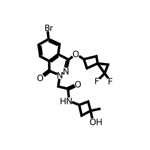 CC1(O)CC(NC(=O)Cn2nc(OC3CC4(C3)CC4(F)F)c3cc(Br)ccc3c2=O)C1